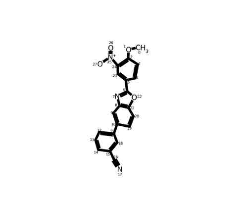 COc1ccc(-c2nc3cc(-c4cccc(C#N)c4)ccc3o2)cc1[N+](=O)[O-]